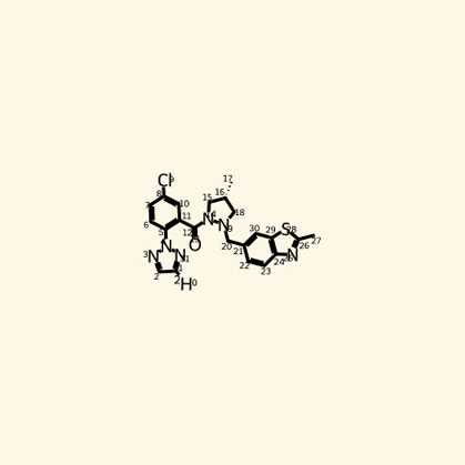 [2H]c1cnn(-c2ccc(Cl)cc2C(=O)N2C[C@H](C)CN2Cc2ccc3nc(C)sc3c2)n1